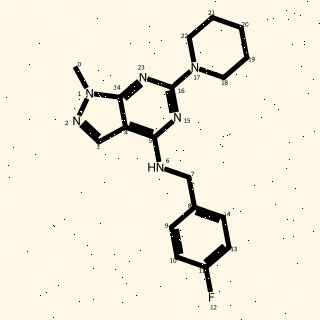 Cn1ncc2c(NCc3ccc(F)cc3)nc(N3CCCCC3)nc21